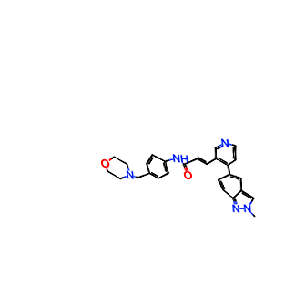 Cn1cc2cc(-c3ccncc3C=CC(=O)Nc3ccc(CN4CCOCC4)cc3)ccc2n1